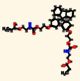 C=CC(=O)OCCNC(=O)OCCOc1ccc(C2(c3ccc(OCCOC(=O)NCCOC(=O)C=C)cc3)c3ccccc3-c3ccccc32)cc1